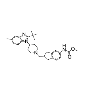 COC(=O)Nc1ccc2c(c1)CC(CN1CCC(n3c(C(C)(C)C)nc4cc(C)ccc43)CC1)C2